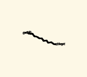 CCCCCCCCCCCCCCCCC=C[NH2+][O-]